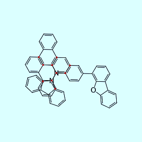 c1ccc(-c2ccccc2-n2c3ccccc3c3ccccc32)c(-c2ccccc2N(c2ccc(-c3cccc4c3oc3ccccc34)cc2)c2ccc3ccccc3c2)c1